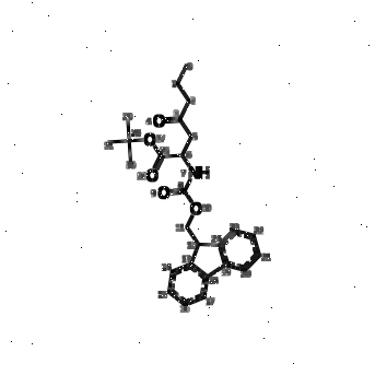 CCCC(=O)CC(NC(=O)OCC1c2ccccc2-c2ccccc21)C(=O)OC(C)(C)C